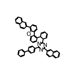 C1=CC(c2nc(-c3ccc(-c4ccccc4)cc3)nc(-c3ccc4ccccc4c3)n2)C(c2cccc3oc4c(-c5ccc6ccccc6c5)cccc4c23)C=C1